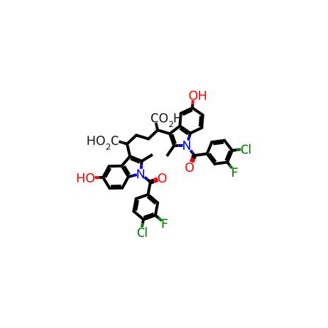 Cc1c(C(CCC(C(=O)O)c2c(C)n(C(=O)c3ccc(Cl)c(F)c3)c3ccc(O)cc23)C(=O)O)c2cc(O)ccc2n1C(=O)c1ccc(Cl)c(F)c1